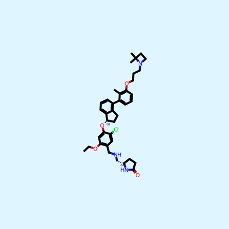 CCOc1cc(O[C@H]2CCc3c(-c4cccc(OCCCN5CCC5(C)C)c4C)cccc32)c(Cl)cc1CNC[C@@H]1CCC(=O)N1